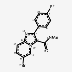 CNC(=O)c1c(-c2ccc(F)cc2)nc2ccc(Br)cn12